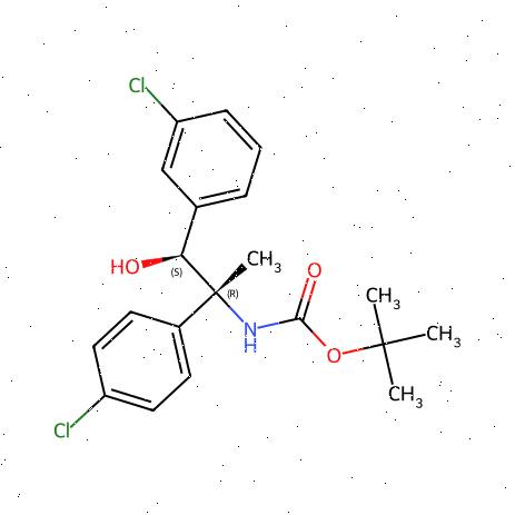 CC(C)(C)OC(=O)N[C@](C)(c1ccc(Cl)cc1)[C@@H](O)c1cccc(Cl)c1